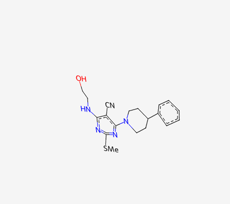 CSc1nc(NCCO)c(C#N)c(N2CCC(c3ccccc3)CC2)n1